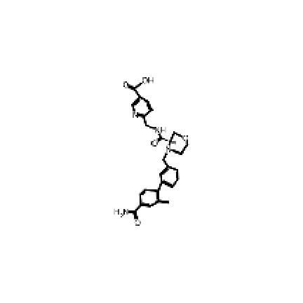 Cc1cc(C(N)=O)ccc1-c1cccc(CN2CCOC[C@@H]2C(=O)NCc2ccc(C(=O)O)cn2)c1